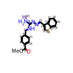 COC(=O)c1ccc(CNC(N)=NN=Cc2csc3ccccc23)cc1.I